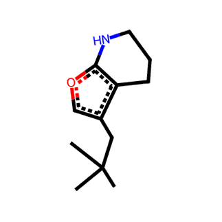 CC(C)(C)Cc1coc2c1CCCN2